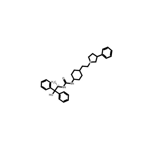 C[C@H](NC(=O)NC1CCC(CCN2CCC(c3ccccc3)C2)CC1)C(O)(c1ccccc1)c1ccccc1